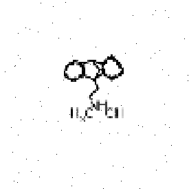 CNCCC12CC(c3ccccc31)c1ccccc12.Cl